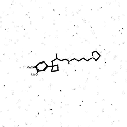 COc1ccc(C2(CC(C)CCNCCCCN3CCCC3)CCC2)cc1OC